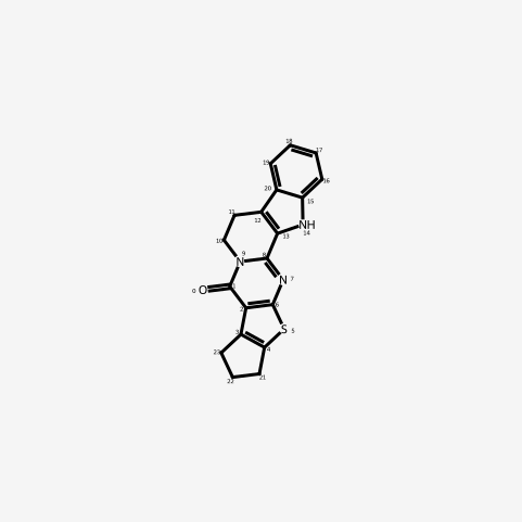 O=c1c2c3c(sc2nc2n1CCc1c-2[nH]c2ccccc12)CCC3